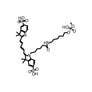 COP(=O)(O)OCCCCCCNC(=O)CCCCCN1\C(=C/C=C/C=C/C2=Nc3ccc(S(=O)(=O)O)cc3C2(C)C)C(C)(C)c2cc(S(=O)(=O)O)ccc21